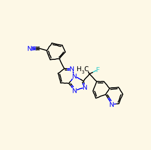 CC(F)(c1ccc2ncccc2c1)c1nnc2ccc(-c3cccc(C#N)c3)nn12